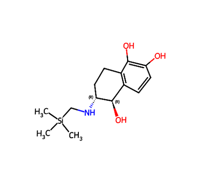 C[Si](C)(C)CN[C@@H]1CCc2c(ccc(O)c2O)[C@H]1O